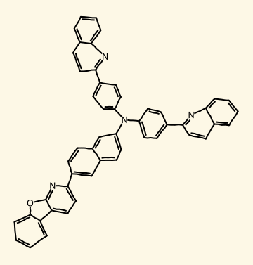 c1ccc2nc(-c3ccc(N(c4ccc(-c5ccc6ccccc6n5)cc4)c4ccc5cc(-c6ccc7c(n6)oc6ccccc67)ccc5c4)cc3)ccc2c1